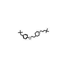 CC(C)(C)CCCN1CCC(CCOc2ccc(CC(C)(C)C)cc2)CC1